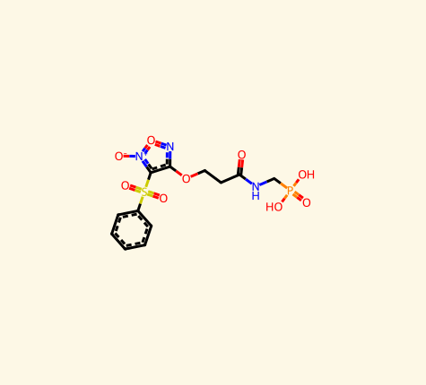 O=C(CCOc1no[n+]([O-])c1S(=O)(=O)c1ccccc1)NCP(=O)(O)O